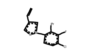 C=Cc1cnn(-c2ccc(Cl)c(F)c2C(C)C)c1